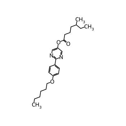 CCCCCCOc1ccc(-c2ncc(OC(=O)CCCC(C)CC)cn2)cc1